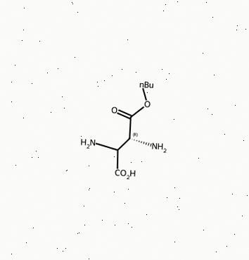 CCCCOC(=O)[C@H](N)C(N)C(=O)O